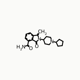 C=C1c2cccc(C(N)=O)c2C(=O)N1C1CCN(C2CCCC2)CC1